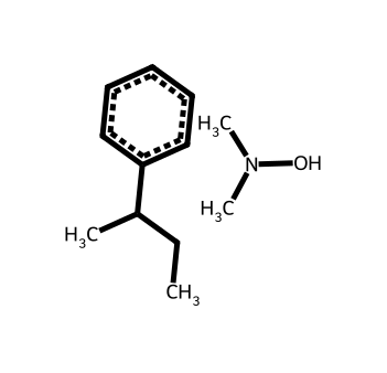 CCC(C)c1ccccc1.CN(C)O